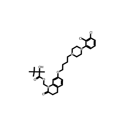 CC(C)(C)C(C)(O)C(=O)OCN1C(=O)CCc2ccc(OCCCCN3CCN(c4cccc(Cl)c4Cl)CC3)cc21